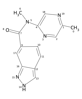 Cc1cnc(N(C)C(=O)c2ccc3c[nH]nc3c2)cn1